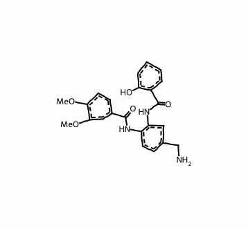 COc1ccc(C(=O)Nc2ccc(CN)cc2NC(=O)c2ccccc2O)cc1OC